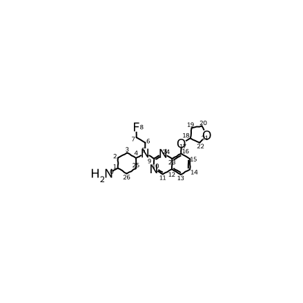 NC1CCC(N(CCF)c2ncc3cccc(OC4CCOC4)c3n2)CC1